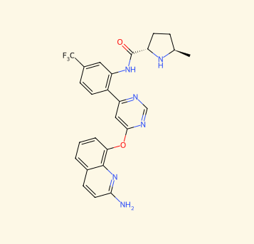 C[C@@H]1CC[C@@H](C(=O)Nc2cc(C(F)(F)F)ccc2-c2cc(Oc3cccc4ccc(N)nc34)ncn2)N1